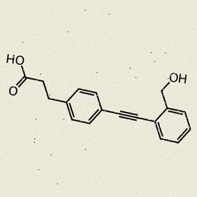 O=C(O)CCc1ccc(C#Cc2ccccc2CO)cc1